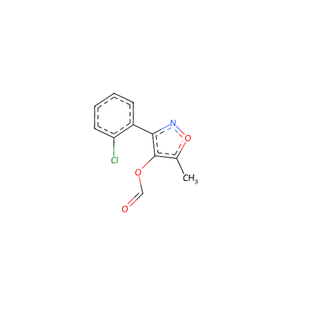 Cc1onc(-c2ccccc2Cl)c1OC=O